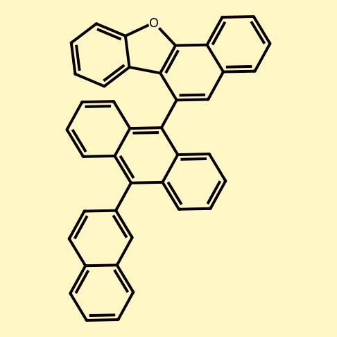 c1ccc2cc(-c3c4ccccc4c(-c4cc5ccccc5c5oc6ccccc6c45)c4ccccc34)ccc2c1